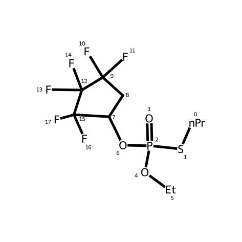 CCCSP(=O)(OCC)OC1CC(F)(F)C(F)(F)C1(F)F